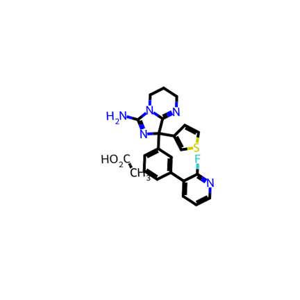 CC(=O)O.NC1=NC(c2ccsc2)(c2cccc(-c3cccnc3F)c2)C2=NCCCN12